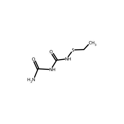 CCSNC(=O)NC(N)=O